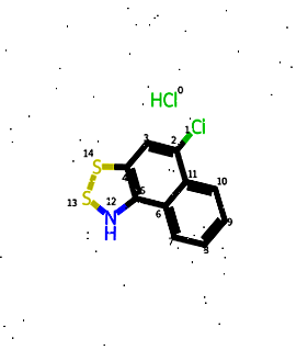 Cl.Clc1cc2c(c3ccccc13)NSS2